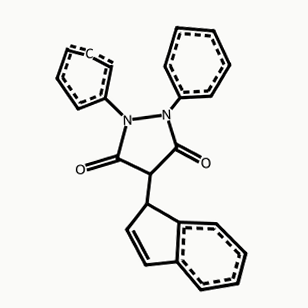 O=C1C(C2C=Cc3ccccc32)C(=O)N(c2ccccc2)N1c1ccccc1